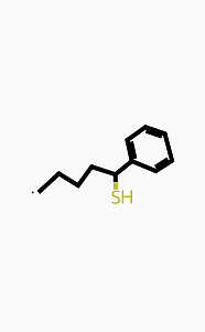 [CH2]CCCC(S)c1ccccc1